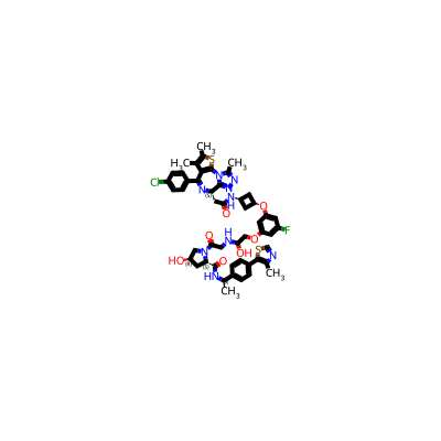 Cc1ncsc1-c1ccc([C@H](C)NC(=O)[C@@H]2C[C@@H](O)CN2C(=O)CNC(O)COc2cc(F)cc(O[C@H]3C[C@@H](NC(=O)C[C@@H]4N=C(c5ccc(Cl)cc5)c5c(sc(C)c5C)-n5c(C)nnc54)C3)c2)cc1